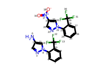 Nc1cnn(-c2ccccc2C(F)(F)F)c1.O=[N+]([O-])c1cnn(-c2ccccc2C(F)(F)F)c1